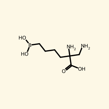 NCC(N)(CCCCB(O)O)C(=O)O